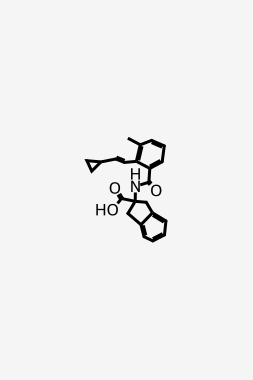 Cc1cccc(C(=O)NC2(C(=O)O)Cc3ccccc3C2)c1C=CC1CC1